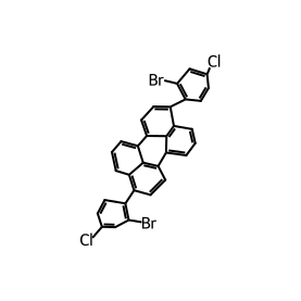 Clc1ccc(-c2ccc3c4cccc5c(-c6ccc(Cl)cc6Br)ccc(c6cccc2c63)c54)c(Br)c1